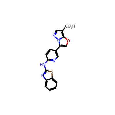 O=C(O)c1cnn2c(-c3ccc(Nc4nc5ccccc5s4)nc3)coc12